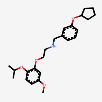 COc1ccc(OC(C)C)c(OCCNCc2cccc(OC3CCCC3)c2)c1